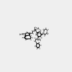 CN(CCc1c[nH]c2ccccc12)c1nc(NCCc2ccccc2)cc(N2CCCCC2)n1